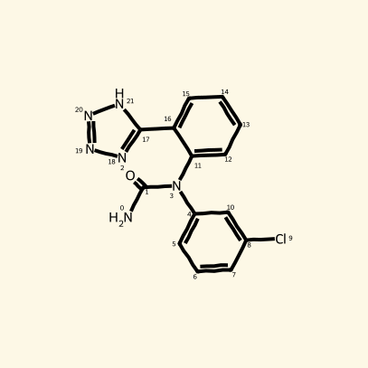 NC(=O)N(c1cccc(Cl)c1)c1ccccc1-c1nnn[nH]1